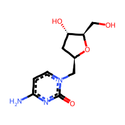 Nc1ccn(C[C@H]2C[C@H](O)[C@@H](CO)O2)c(=O)n1